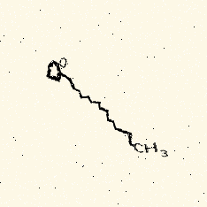 CCCCCCCCCCCCCC=Cc1ccccc1[O]